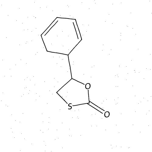 O=C1OC(C2C=CC=CC2)CS1